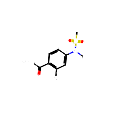 COC(=O)c1ccc(N(C)S(C)(=O)=O)cc1[N+](=O)[O-]